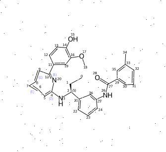 CC[C@H](NC1=C/C=C/C=C/C(c2ccc(O)c(OC)c2)=N\1)c1cccc(NC(=O)c2cccc(C)c2)c1